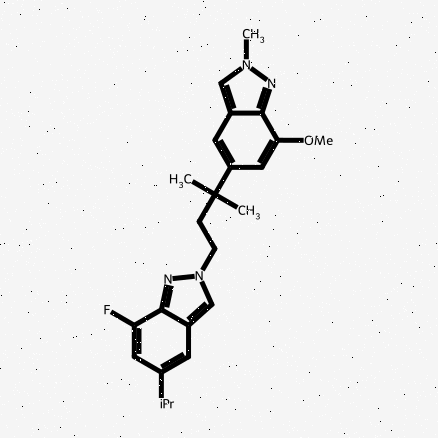 COc1cc(C(C)(C)CCn2cc3cc(C(C)C)cc(F)c3n2)cc2cn(C)nc12